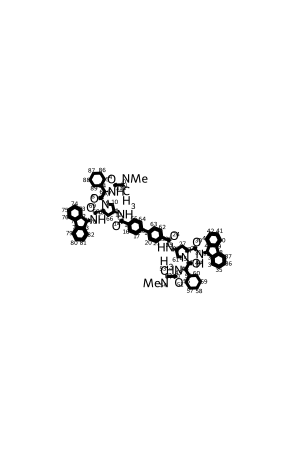 CN[C@@H](C)C(=O)N[C@H](C(=O)N1C[C@@H](NC(=O)c2ccc(-c3ccc(C(=O)N[C@H]4C[C@@H](C(=O)NC5c6ccccc6-c6ccccc65)N(C(=O)[C@@H](NC(=O)[C@H](C)NC)C5CCCCC5)C4)cc3)cc2)C[C@H]1C(=O)NC1c2ccccc2-c2ccccc21)C1CCCCC1